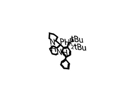 CC(C)(C)P(Cc1ccc(-c2ccccc2)cc1C(P)(C1CCCCN1)C1CCCCN1)C(C)(C)C